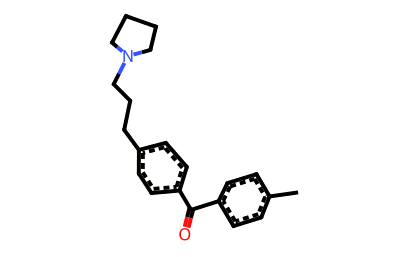 Cc1ccc(C(=O)c2ccc(CCCN3CCCC3)cc2)cc1